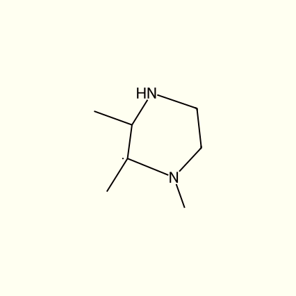 C[C]1C(C)NCCN1C